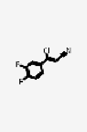 N#CC=C(Cl)c1ccc(F)c(F)c1